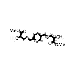 COC(=O)C(C)CSCC1CSC(CSCC(C)C(=O)OC)CS1